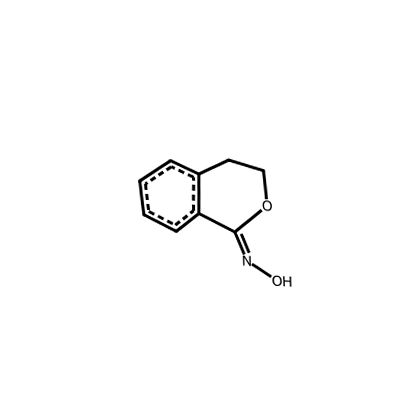 ON=C1OCCc2ccccc21